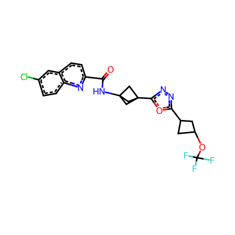 O=C(NC12CC(c3nnc(C4CC(OC(F)(F)F)C4)o3)(C1)C2)c1ccc2cc(Cl)ccc2n1